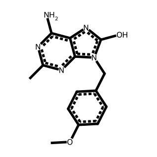 COc1ccc(Cn2c(O)nc3c(N)nc(C)nc32)cc1